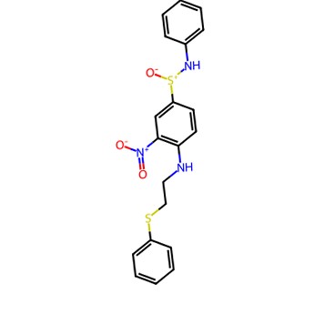 O=[N+]([O-])c1cc([S+]([O-])Nc2ccccc2)ccc1NCCSc1ccccc1